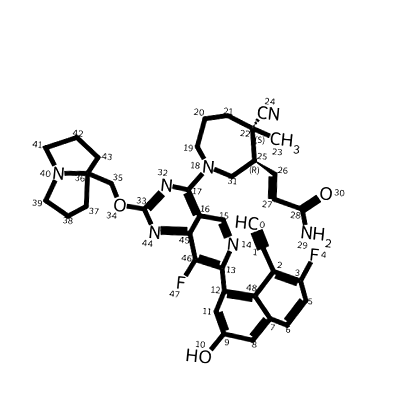 C#Cc1c(F)ccc2cc(O)cc(-c3ncc4c(N5CCC[C@](C)(C#N)[C@@H](C=CC(N)=O)C5)nc(OCC56CCCN5CCC6)nc4c3F)c12